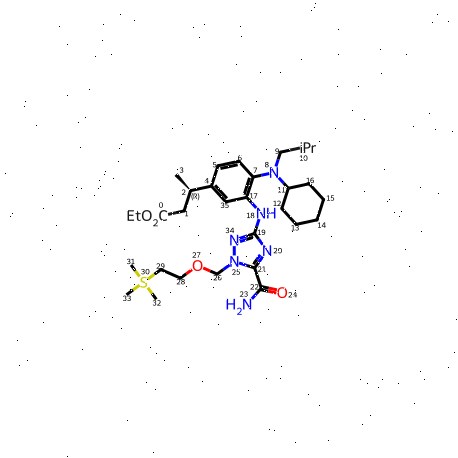 CCOC(=O)C[C@@H](C)c1ccc(N(CC(C)C)C2CCCCC2)c(Nc2nc(C(N)=O)n(COCCS(C)(C)C)n2)c1